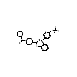 O=C(Nc1ccccc1Oc1ccc(OC(F)(F)F)cc1)C1CCN(C(=O)C2CCCC2)CC1